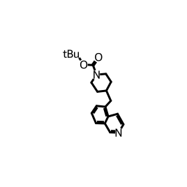 CC(C)(C)OC(=O)N1CCC(Cc2cccc3cnccc23)CC1